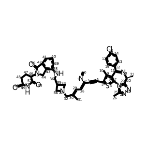 C=N/C(C#Cc1sc2c(c1C)C(c1ccc(Cl)cc1)=N[C@@H](C)c1nnc(C)n1-2)=C\C=C(/C)CN1CC(CNc2cccc3c2CN(C2CCC(=O)NC2=O)C3=O)C1